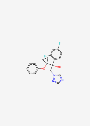 OC(Cn1cncn1)(c1ccc(F)cc1F)C1(Oc2ccccc2)CC1